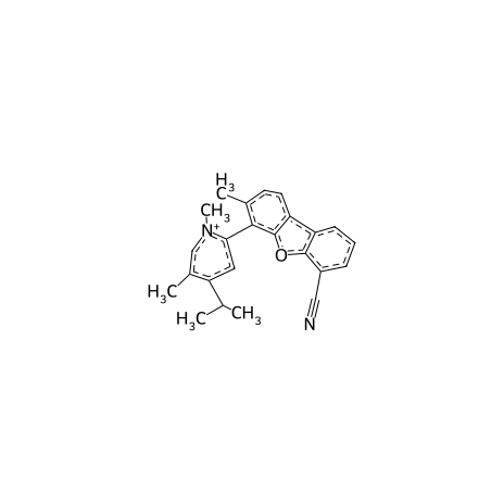 Cc1c[n+](C)c(-c2c(C)ccc3c2oc2c(C#N)cccc23)cc1C(C)C